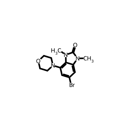 Cn1c(=O)n(C)c2c(N3CCOCC3)cc(Br)cc21